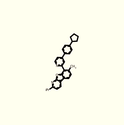 Cc1ccc2c(oc3nc(C(C)C)ccc32)c1-c1cc(-c2ccc(C3CCCC3)cc2)ccn1